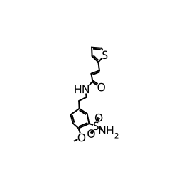 COc1ccc(CCNC(=O)C=Cc2cccs2)cc1S(N)(=O)=O